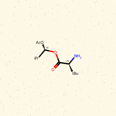 CC(=O)O[C@@H](OC(=O)[C@@H](N)C(C)(C)C)C(C)C